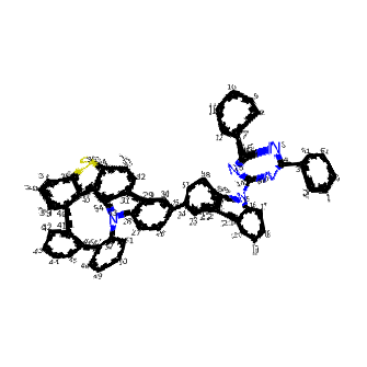 c1ccc(-c2nc(-c3ccccc3)nc(-n3c4ccccc4c4cc(-c5ccc6c(c5)c5ccc7sc8cccc9c%10ccccc%10c%10ccccc%10n6c5c7c89)ccc43)n2)cc1